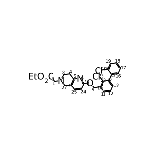 CCOC(=O)CN1CCc2nc(OCc3cccc(-c4ccccc4Cl)c3Cl)ccc2C1